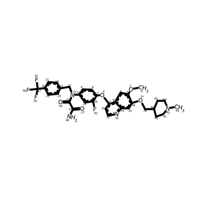 COc1cc2c(Oc3ccc(N(Cc4ccc(C(F)(F)F)cc4)C(=O)C(N)=O)cc3F)ccnc2cc1OCC1CCN(C)CC1